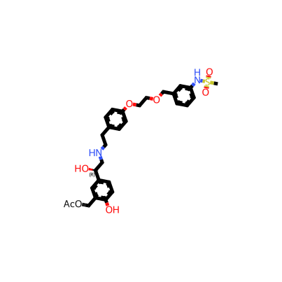 CC(=O)OCc1cc([C@@H](O)CNCCc2ccc(OCCOCc3cccc(NS(C)(=O)=O)c3)cc2)ccc1O